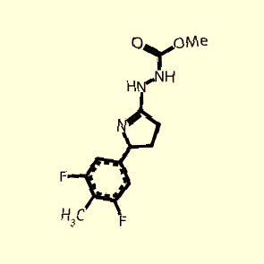 COC(=O)NNC1=NC(c2cc(F)c(C)c(F)c2)CC1